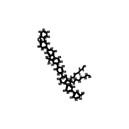 CCCCCCCC1(CCCCCCC)c2cc(-c3ccc(-c4ccc5c(c4)C(C)(C)c4cc(-c6ccc7oc8ccccc8c7c6)ccc4-5)cc3)ccc2-c2ccc(-c3cccc(C)c3)cc21